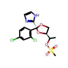 CC(OS(C)(=O)=O)[C@@H]1CO[C@](c2ncc[nH]2)(c2ccc(Cl)cc2Cl)O1